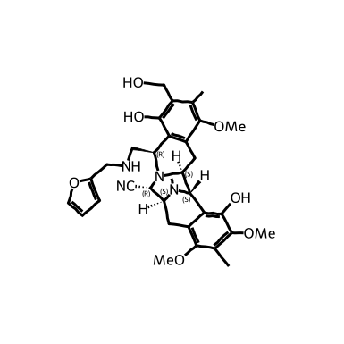 COc1c(C)c(OC)c2c(c1O)[C@H]1[C@@H]3Cc4c(OC)c(C)c(CO)c(O)c4[C@H](CNCc4ccco4)N3[C@@H](C#N)[C@H](C2)N1C